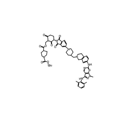 Cc1cccc(C)c1Nc1nn(C)c2nc(Nc3ccc4c(c3)CN(CC3CCN(c5ccc6c(c5)C(=O)N(C5CCC(=O)N(COC(=O)C7CCN(C(=O)OC(C)(C)C)CC7)C5=O)C6=O)CC3)CC4)ncc12